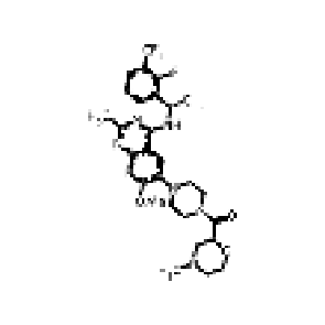 COc1nc2nc(C)nc(N[C@H](C)c3cccc(C(F)(F)F)c3F)c2cc1N1CCN(C(=O)C2CN(C)CCO2)CC1